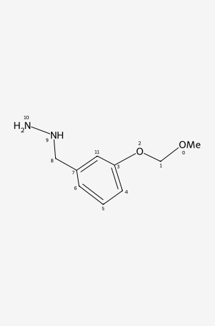 COCOc1cccc(CNN)c1